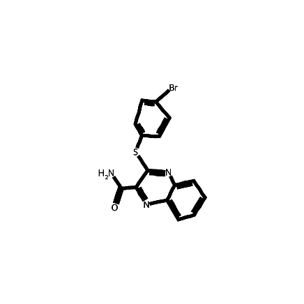 NC(=O)c1nc2ccccc2nc1Sc1ccc(Br)cc1